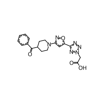 O=C(O)Cn1nnc(-c2cc(N3CCC(C(=O)c4ccccc4)CC3)no2)n1